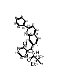 CCC(C)(CC)C(=O)NC(c1ccc2ccc(-c3ccccc3)nc2c1)c1nccnc1Cl